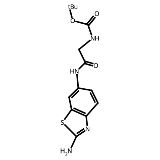 CC(C)(C)OC(=O)NCC(=O)Nc1ccc2nc(N)sc2c1